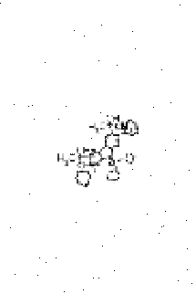 CC(C)(C)c1cc2c(cc1-c1ccccc1)[CH]([Zr]([C]1=CC=CC1)=[C]1CCC1)c1cc(-c3ccccc3)c(C(C)(C)C)cc1-2